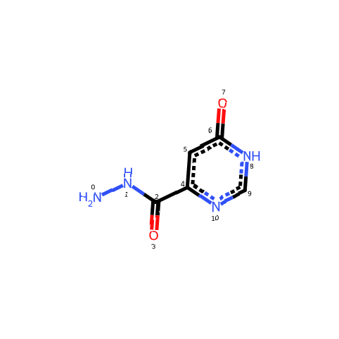 NNC(=O)c1cc(=O)[nH]cn1